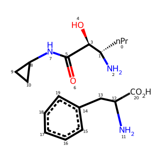 CCC[C@H](N)[C@H](O)C(=O)NC1CC1.NC(Cc1ccccc1)C(=O)O